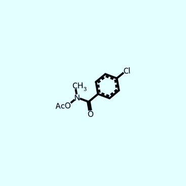 CC(=O)ON(C)C(=O)c1ccc(Cl)cc1